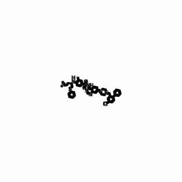 Cc1cc(S(=O)(=O)Nc2ncnc3cc(N4CCN(Cc5cc(Cl)ccc5-c5ccccc5)CC4)ccc23)ccc1N[C@H](CCN(C)C)CSc1ccccc1